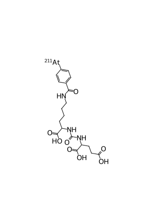 O=C(O)CCC(NC(=O)NC(CCCCNC(=O)c1ccc([211At])cc1)C(=O)O)C(=O)O